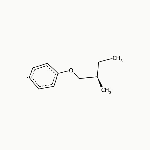 CC[C@@H](C)COc1cc[c]cc1